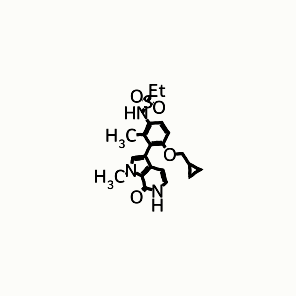 CCS(=O)(=O)Nc1ccc(OCC2CC2)c(-c2cn(C)c3c(=O)[nH]ccc23)c1C